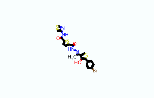 C/C(=N\NC(=O)c1ccc(C(=O)Nc2cscn2)s1)c1csc(-c2ccc(Br)cc2)c1O